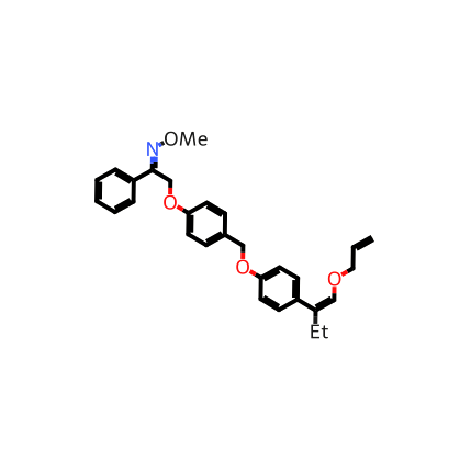 C=CCO/C=C(/CC)c1ccc(OCc2ccc(OC/C(=N\OC)c3ccccc3)cc2)cc1